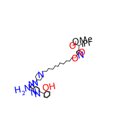 COC(=O)C(c1cc(OCCCCCCCCCCCN2CCC(n3nc(N)c4nnc(-c5ccccc5O)cc43)CC2)no1)C(C)C